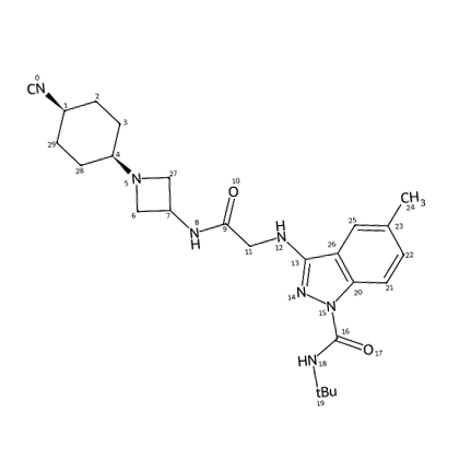 [C-]#[N+][C@H]1CC[C@@H](N2CC(NC(=O)CNc3nn(C(=O)NC(C)(C)C)c4ccc(C)cc34)C2)CC1